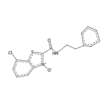 O=C(NCCc1ccccc1)c1sc2c(Cl)cccc2[n+]1[O-]